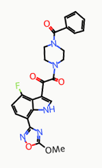 COc1nc(-c2ccc(F)c3c(C(=O)C(=O)N4CCN(C(=O)c5ccccc5)CC4)c[nH]c23)no1